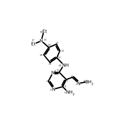 B/N=C/c1c(N)ncnc1Nc1ccc(N(CC)CC)cc1